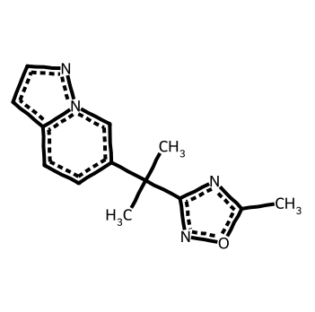 Cc1nc(C(C)(C)c2ccc3ccnn3c2)no1